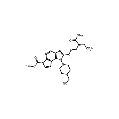 COC(=O)/C(=C/C(=O)O)CO[C@H](C)c1nc2cnc3c(ccn3C(=O)OC(C)(C)C)c2n1N1CCC(CC#N)CC1